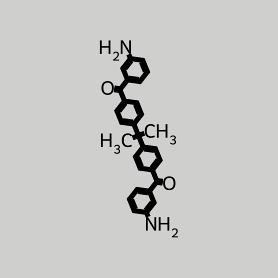 CC(C)(c1ccc(C(=O)c2cccc(N)c2)cc1)c1ccc(C(=O)c2cccc(N)c2)cc1